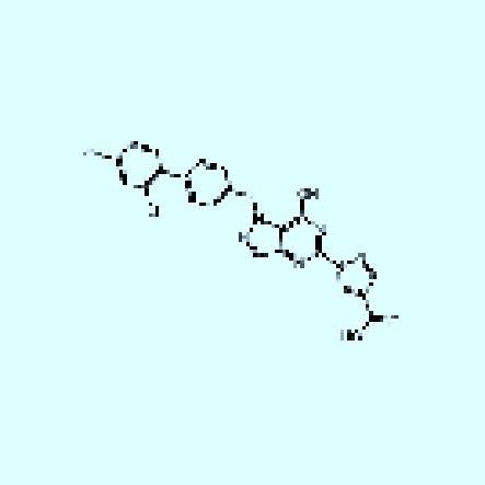 O=C(O)c1cnn(-c2nc(O)c3c(cnn3Cc3ccc(-c4ccc(Cl)cc4Cl)cc3)n2)c1